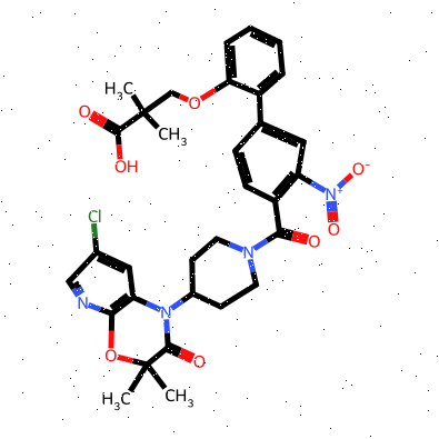 CC(C)(COc1ccccc1-c1ccc(C(=O)N2CCC(N3C(=O)C(C)(C)Oc4ncc(Cl)cc43)CC2)c([N+](=O)[O-])c1)C(=O)O